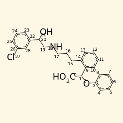 O=C(O)C(Oc1ccccc1)c1ccccc1CCCNCC(O)c1cccc(Cl)c1